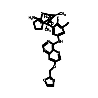 C[C@H]1[C@@H]2[C@@]1(C(=O)N1CCCC1)SC(N)=N[C@]2(C)c1cc(Nc2ncnc3cc(OCc4ncco4)cnc23)cc(F)c1F